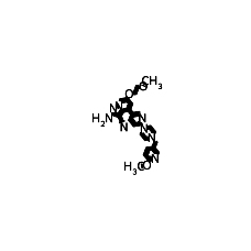 COCCOc1cc(-c2ccc(N3CCN(Cc4ccc(OC)nc4)CC3)nc2)c2c(C#N)c(N)nn2c1